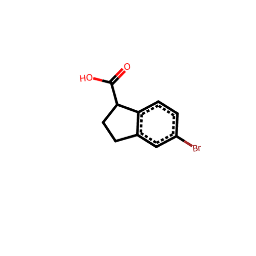 O=C(O)C1CCc2cc(Br)ccc21